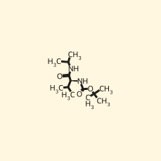 CC(C)NC(=O)[C@@H](NC(=O)OC(C)(C)C)C(C)C